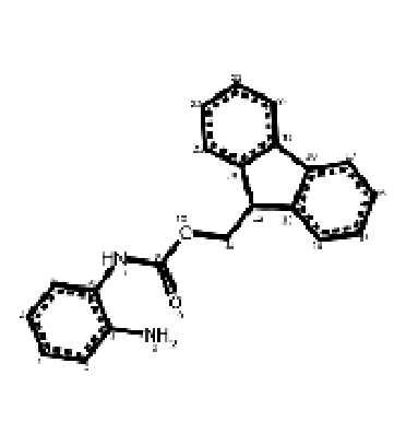 Nc1ccccc1NC(=O)OCC1c2ccccc2-c2ccccc21